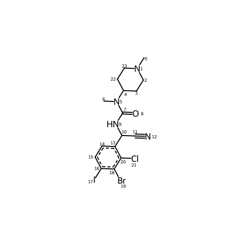 CN1CCC(N(C)C(=O)NC(C#N)c2ccc(I)c(Br)c2Cl)CC1